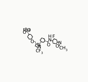 Cc1nc2cc(F)c(NC(=O)c3cccc(-n4nc(C(F)(F)F)cc4COc4ccc(C(=O)OC(C)(C)C)cc4)c3)cc2o1